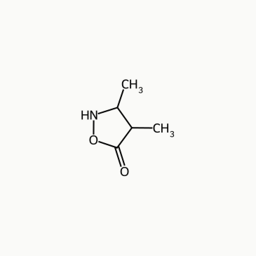 CC1NOC(=O)C1C